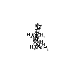 CNC(C)(C)C(=O)Nc1cc(C(C)(C)COC2CCCCO2)no1